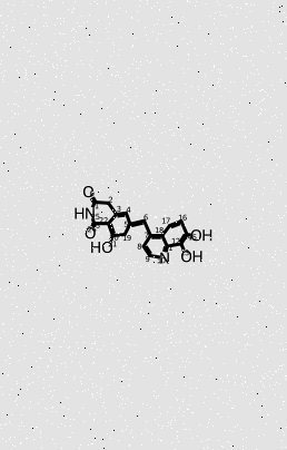 O=C1CC2=CC(=Cc3ccnc4c(O)c(O)ccc34)CC(O)=C2C(=O)N1